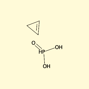 C1=CC1.O=[PH](O)O